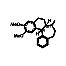 COc1cc2c(cc1OC)[C@H]1c3ccccc3CCN(C)[C@@H]1CC2